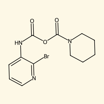 O=C(Nc1cccnc1Br)OC(=O)N1CCCCC1